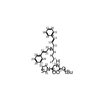 CC(C)(C)OC(=O)N[C@@H](CCCCN(CC=Cc1ccccc1)CC=Cc1ccccc1)C(=O)N1CCSC1